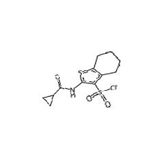 O=C(Nc1sc2c(c1S(=O)(=O)Cl)CCCC2)C1CC1